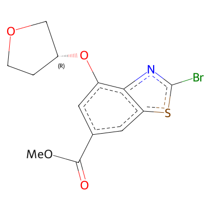 COC(=O)c1cc(O[C@@H]2CCOC2)c2nc(Br)sc2c1